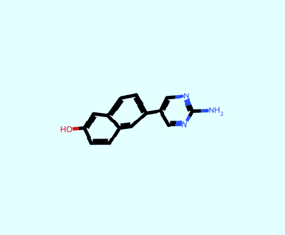 Nc1ncc(-c2ccc3cc(O)ccc3c2)cn1